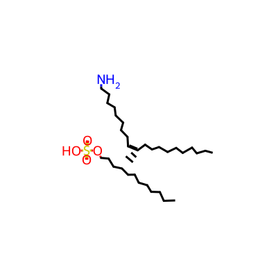 CC.CC.CCCCCCCCCC/C=C\CCCCCCCCN.CCCCCCCCCCCCOS(=O)(=O)O